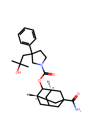 CC(C)(O)CC1(c2ccccc2)CCN(C(=O)OC2[C@@H]3CC4C[C@H]2CC(C(N)=O)(C4)C3)C1